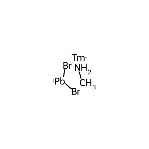 CN.[Br][Pb][Br].[Tm]